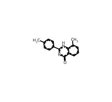 Cc1ccc(-c2nc(=O)c3cccc(C)c3[nH]2)cc1